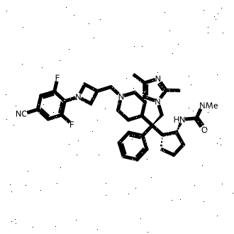 CNC(=O)N[C@H]1CCC[C@@H]1[C@](Cn1cc(C)nc1C)(c1ccccc1)C1CCN(CC2CN(c3c(F)cc(C#N)cc3F)C2)CC1